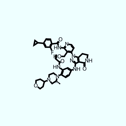 C=CC(=O)Nc1cc(Nc2nn(-c3ccnc(NC(=O)c4ccc(C5CC5)cc4F)c3CO)c3c2C(=O)NCC3)ccc1N1CCN(C2CCOCC2)C[C@@H]1C